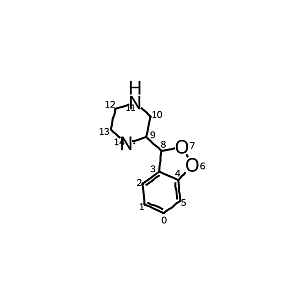 c1ccc2c(c1)OOC2C1CNCC[N]1